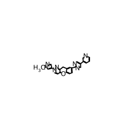 Cn1cc(-n2ccc(=O)c(Cc3cccc(-c4ncc(-c5cccnc5)cn4)c3)n2)cn1